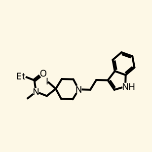 CCC(=O)N(C)CC1(I)CCN(CCc2c[nH]c3ccccc23)CC1